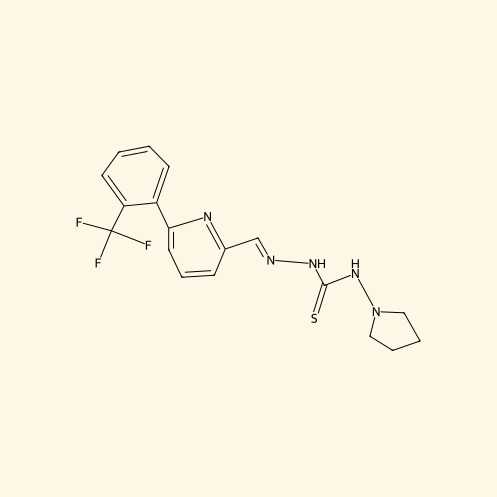 FC(F)(F)c1ccccc1-c1cccc(C=NNC(=S)NN2CCCC2)n1